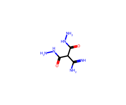 N=C(N)C(C(=O)NN)C(=O)NN